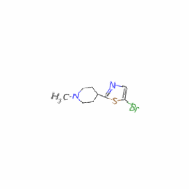 CN1CCC(c2ncc(Br)s2)CC1